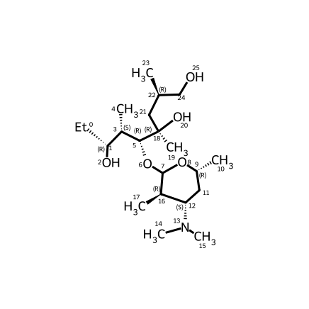 CC[C@@H](O)[C@H](C)[C@@H](OC1O[C@H](C)C[C@H](N(C)C)[C@H]1C)[C@](C)(O)C[C@@H](C)CO